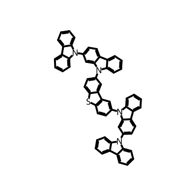 c1ccc2c(c1)c1ccccc1n2-c1ccc2c3ccccc3n(-c3ccc4sc5ccc(-n6c7ccccc7c7ccc(-n8c9ccccc9c9ccccc98)cc76)cc5c4c3)c2c1